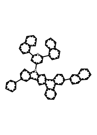 c1ccc(-c2ccc3c(c2)c2cc4c5ccccc5c5cc(-c6ccc7ccccc7c6)ccc5c4cc2n3-c2cc(-c3cccc4ccccc34)nc(-c3cccc4ccccc34)c2)cc1